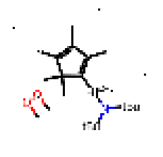 CC1=C(C)C(C)(C)[C]([Hf+2][N](C(C)(C)C)C(C)(C)C)=C1C.C[O-].C[O-]